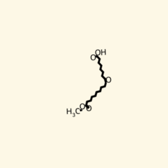 CCOC(=O)CCCCCCCCC1OC1CCCCCCC(=O)O